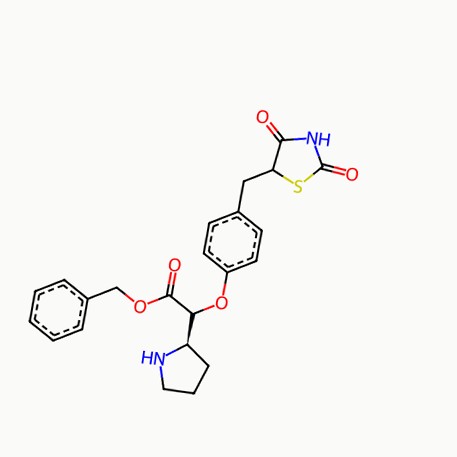 O=C1NC(=O)C(Cc2ccc(OC(C(=O)OCc3ccccc3)[C@H]3CCCN3)cc2)S1